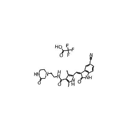 Cc1[nH]c(/C=C2\C(=O)Nc3ccc(C#N)cc32)c(C)c1C(=O)NCCN1CCNC(=O)C1.O=C(O)C(F)(F)F